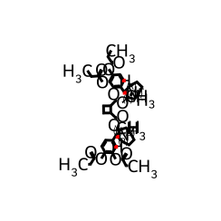 CCC(=O)Oc1ccc(C[N+]2(C)[C@@H]3CC[C@H]2C[C@@H](OC(=O)C2CCC2C(=O)O[C@H]2C[C@H]4CC[C@@H](C2)[N+]4(C)Cc2ccc(OC(=O)CC)c(OC(=O)CC)c2)C3)cc1OC(=O)CC